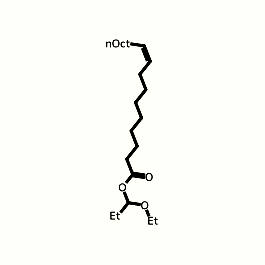 CCCCCCCC/C=C\CCCCCCCC(=O)OC(CC)OCC